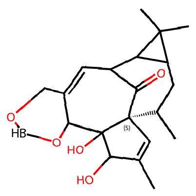 CC1=C[C@]23C(=O)C(C=C4COBOC4C2(O)C1O)C1C(CC3C)C1(C)C